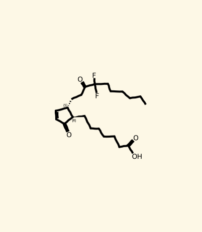 CCCCCCC(F)(F)C(=O)CC[C@H]1C=CC(=O)[C@@H]1CCCCCCC(=O)O